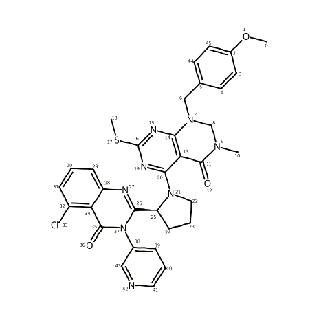 COc1ccc(CN2CN(C)C(=O)c3c2nc(SC)nc3N2CCC[C@H]2c2nc3cccc(Cl)c3c(=O)n2-c2cccnc2)cc1